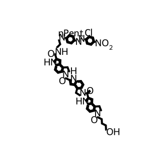 CCCCCN(CCCNC(=O)c1cc2c3c(ccc2[nH]1)N(C(=O)c1cc2c4c(ccc2[nH]1)N(C(=O)c1cc2c5c(ccc2[nH]1)N(C(=O)CCCCO)CC5)CC4)CC3)c1ccc(/N=N/c2ccc([N+](=O)[O-])cc2Cl)cc1